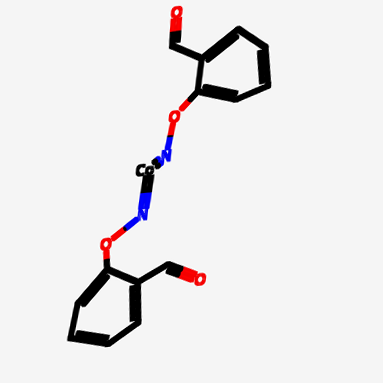 O=Cc1ccccc1O[N]=[Co]=[N]Oc1ccccc1C=O